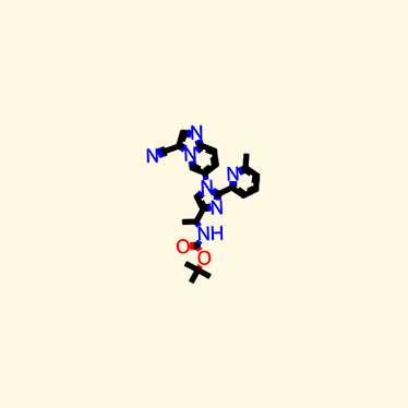 Cc1cccc(-c2nc(C(C)NC(=O)OC(C)(C)C)cn2-c2ccc3ncc(C#N)n3c2)n1